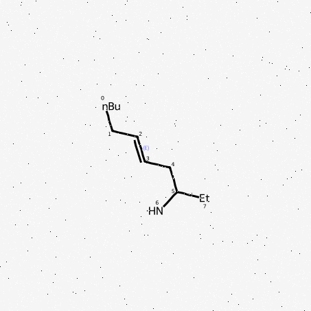 CCCCC/C=C/CC([NH])CC